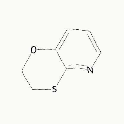 c1cnc2c(c1)OCCS2